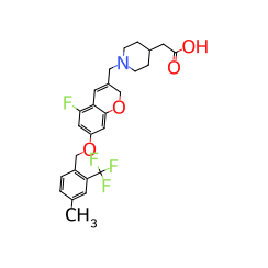 Cc1ccc(COc2cc(F)c3c(c2)OCC(CN2CCC(CC(=O)O)CC2)=C3)c(C(F)(F)F)c1